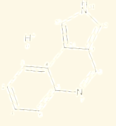 [H+].c1ccc2c(c1)ncc1c[nH]cc12